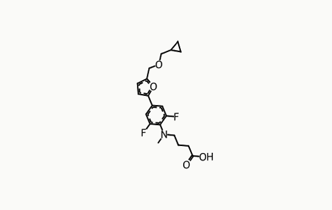 CN(CCCC(=O)O)c1c(F)cc(-c2ccc(COCC3CC3)o2)cc1F